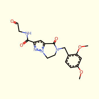 COc1ccc(CN2CCn3nc(C(=O)NCC=O)cc3C2=O)c(OC)c1